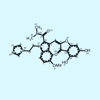 COc1ccc2c(c1)c(C=C1Oc3cc(O)cc(O)c3C1=O)c(C(=O)N(C)C)n2CCn1ccnc1